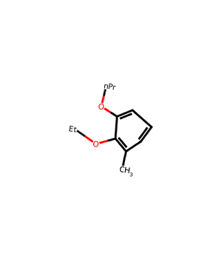 CCCOc1cccc(C)c1OCC